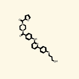 O=C(c1ccc(Nc2cccc(-c3ccc(SCCCO)cc3)n2)cc1)N1CCN(C(=O)c2ccco2)CC1